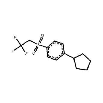 O=S(=O)(CC(F)(F)F)c1ccc(C2CCCC2)cc1